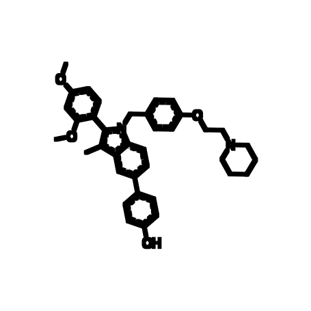 COc1ccc(-c2c(C)c3cc(-c4ccc(O)cc4)ccc3n2Cc2ccc(OCCN3CCCCC3)cc2)c(OC)c1